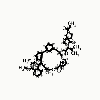 C=CC(=O)N1CCC2(C1)N=CN(C(C(=O)N[C@H]1Cc3cccc(c3)-c3ccc4c(c3)c(c(-c3cccnc3[C@H](C)OC)n4CC)CC(C)(C)COC(=O)[C@@H]3CCCN(N3)C1=O)C(C)C)C2=O